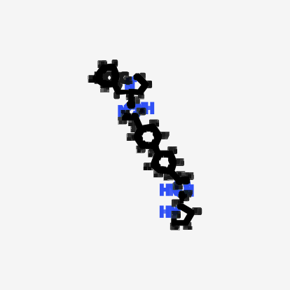 O=C(O)N1CCC[C@]1(Cc1ccccc1)c1ncc(-c2ccc(-c3ccc(-c4cnc([C@@H]5CCCN5)[nH]4)cc3)cc2)[nH]1